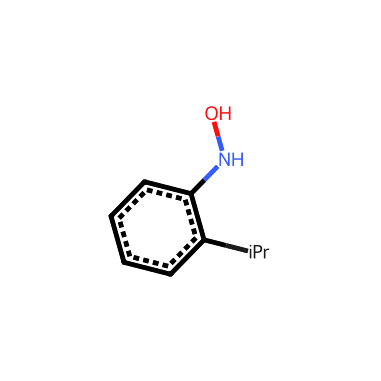 CC(C)c1ccccc1NO